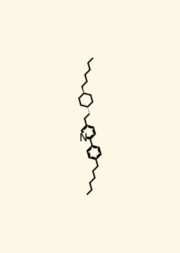 CCCCCCc1ccc(-c2ccc(CC[C@H]3CC[C@H](CCCCCC)CC3)cn2)cc1